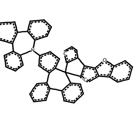 c1ccc2c(c1)-c1ccccc1N(c1ccc3c(c1)-c1ccccc1-c1ccccc1C31c3ccccc3-c3c1ccc1c3oc3ccccc31)c1ccccc1-2